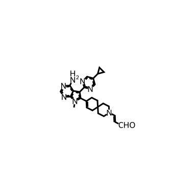 Cn1c(C2=CCC3(CC2)CCN(C=CC=O)CC3)c(-c2ncc(C3CC3)cn2)c2c(N)ncnc21